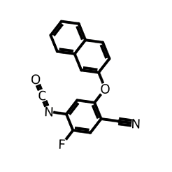 N#Cc1cc(F)c(N=C=O)cc1Oc1ccc2ccccc2c1